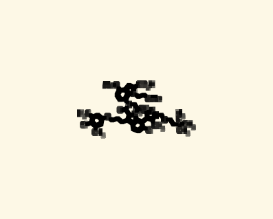 COCCn1c(C(=O)O)cc2c(OC)ccc(N3CC(C)n4c(c(CCCOc5cc(C)c(Cl)c(C)c5)c5ccc(Cl)c(-c6c(C)nn(COCC[Si](C)(C)C)c6C)c54)C3=O)c21